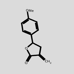 C=C1CC(c2ccc(OC)cc2)OC1=O